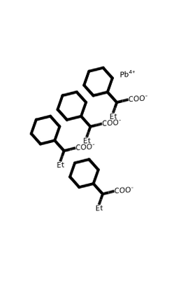 CCC(C(=O)[O-])C1CCCCC1.CCC(C(=O)[O-])C1CCCCC1.CCC(C(=O)[O-])C1CCCCC1.CCC(C(=O)[O-])C1CCCCC1.[Pb+4]